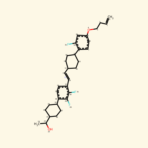 C=CCCOc1ccc(C2CCC(/C=C/c3ccc(C4CCC(C(C)O)CC4)c(F)c3F)CC2)c(F)c1